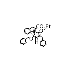 CCOC(=O)[C@H](Cc1ccccc1)NC(=O)[C@H](Cc1ccccc1)NC(=O)OCc1ccccc1